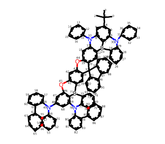 CC(C)(C)c1cc2c3c(c1)N(c1ccccc1)c1cc4c(cc1B3c1ccccc1N2c1ccccc1)C1(c2cc3c(cc2O4)Oc2cc(N(c4ccccc4)c4ccccc4-c4ccccc4)cc4c2B3c2ccccc2N4c2ccccc2-c2ccccc2)c2ccccc2-c2ccccc21